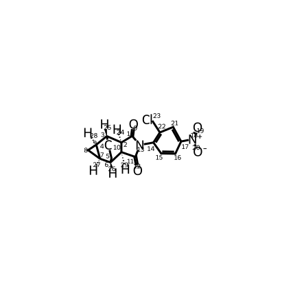 O=C1[C@@H]2[C@@H]3CC[C@@H]([C@H]4C[C@H]43)[C@@H]2C(=O)N1c1ccc([N+](=O)[O-])cc1Cl